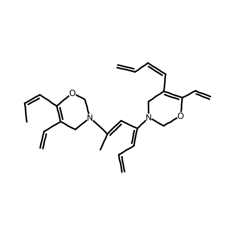 C=C/C=C\C1=C(C=C)OCN(C(/C=C(\C)N2COC(/C=C\C)=C(C=C)C2)=C/C=C)C1